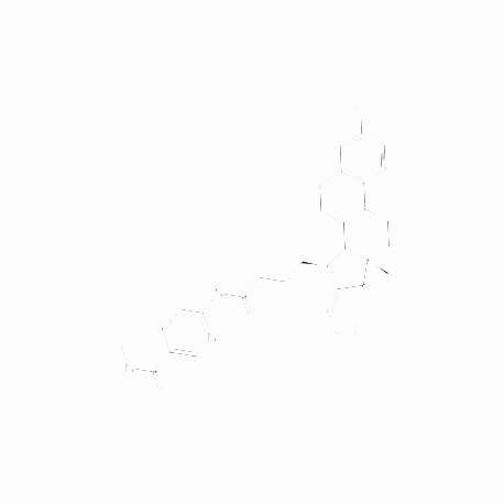 CN(C)C(=O)c1ccc(NC(=O)CCC[C@@H]2/C(=C/O)C(=O)[C@@]3(C)CCC4c5ccc(Cl)cc5CCC4C23)nc1